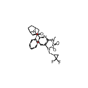 CN1c2nc(C3=CC4CCC(C3)N4C(=O)c3ccccc3)ccc2N(CC2CC2(F)F)S1(=O)=O